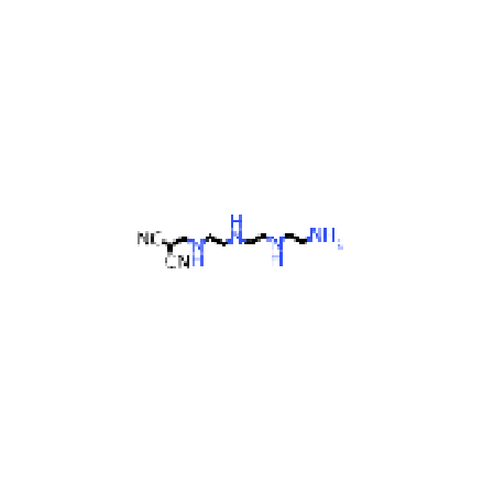 N#CC(C#N)CNCCNCCNCCN